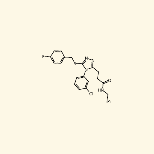 CC(C)CNC(=O)CCc1nnc(SCc2ccc(F)cc2)n1-c1cccc(Cl)c1